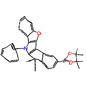 CC1(C)c2ccc(B3OC(C)(C)C(C)(C)O3)cc2-c2c1n(-c1ccccc1)c1c2oc2ccccc21